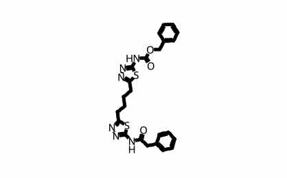 O=C(Cc1ccccc1)Nc1nnc(CCCCc2nnc(NC(=O)OCc3ccccc3)s2)s1